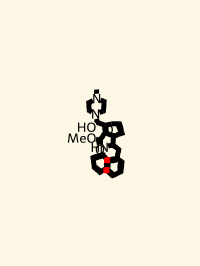 COC(=O)C1=C(C(O)N2CCN(C)CC2)C2C=CC1(C(Cc1ccccc1)Nc1ccccc1)O2